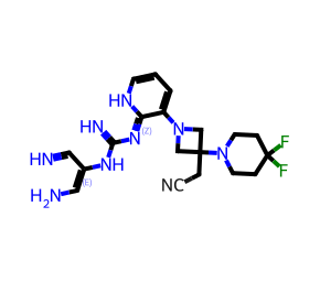 N#CCC1(N2CCC(F)(F)CC2)CN(c2ccc[nH]/c2=N\C(=N)N/C(C=N)=C/N)C1